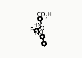 O=C(O)c1ccc(CNC(=O)c2cc(F)cnc2Oc2ccc(-c3ccccc3)cc2)cc1